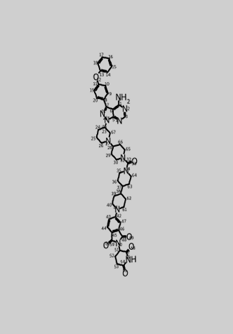 Nc1ncnc2c1c(-c1ccc(Oc3ccccc3)cc1)nn2[C@@H]1CCCN(C2CCN(C(=O)N3CCC(C4CCN(c5ccc6c(c5)C(=O)N(C5CCC(=O)NC5=O)C6=O)CC4)CC3)CC2)C1